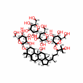 C[C@H](CC[C@@H](O[C@@H]1O[C@H](CO)[C@@H](O)[C@H](O)[C@H]1O[C@@H]1O[C@H](CO)C([C@H]2O[C@H](CO)[C@@H](O)[C@H](O)[C@H]2O)[C@H](O)[C@H]1O)C(C)(C)O)C1CC[C@@]2(C)C3CC=C4C(CC[C@H](O[C@@H]5O[C@H](CO)[C@@H](O)[C@H](O)[C@H]5O)C4(C)C)[C@]3(C)[C@H](O)C[C@]12C